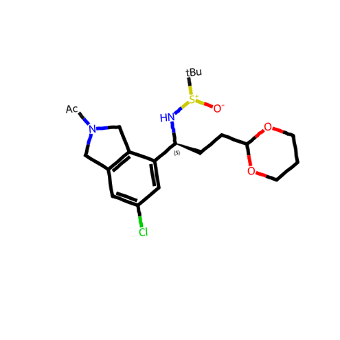 CC(=O)N1Cc2cc(Cl)cc([C@H](CCC3OCCCO3)N[S+]([O-])C(C)(C)C)c2C1